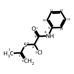 C=C(C)SC(Cl)C(=O)Nc1ccccc1